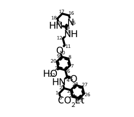 CCOC(=O)CC(NC(=O)c1ccc(OCCNC2=NCCCN2)cc1O)c1ccccc1